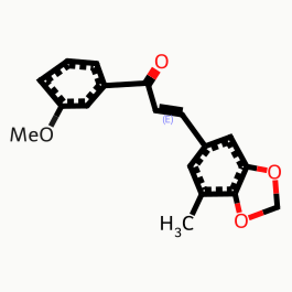 COc1cccc(C(=O)/C=C/c2cc(C)c3c(c2)OCO3)c1